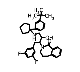 CC(C)(C)c1cccc(C2(NCC(O)C(Cc3cc(F)cc(F)c3)N3CCCc4ccccc4C3=O)CCCCC2)c1